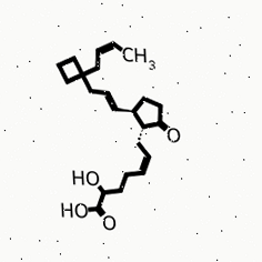 C/C=C\CC1(C/C=C/[C@H]2CCC(=O)[C@@H]2C/C=C\CCC(O)C(=O)O)CCC1